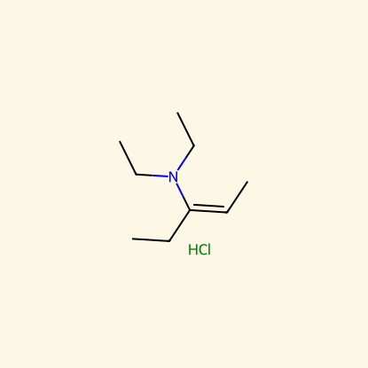 CC=C(CC)N(CC)CC.Cl